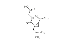 CC(C)C[C@H](NC(N)=O)C(=O)NCC(=O)O